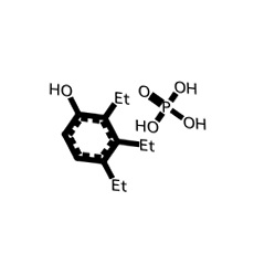 CCc1ccc(O)c(CC)c1CC.O=P(O)(O)O